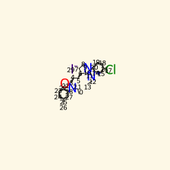 CCN1C(=CC=C2CCn3c2[n+](CC)c2cc(Cl)ccc23)Oc2ccc(C)cc21.[I-]